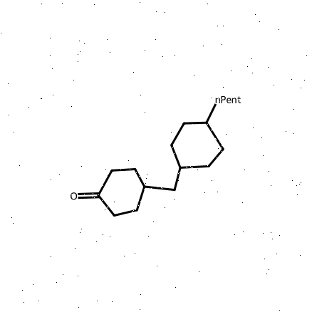 CCCCCC1CCC(CC2CCC(=O)CC2)CC1